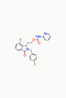 O=C(Nc1ccccn1)OCCC1c2c(F)cccc2C(=O)N1Cc1ccc(F)cc1